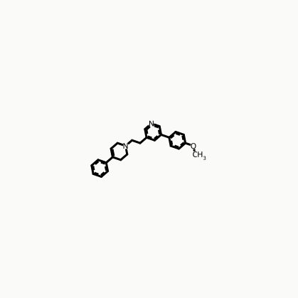 COc1ccc(-c2cncc(CCN3CC=C(c4ccccc4)CC3)c2)cc1